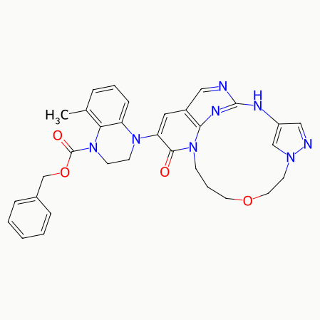 Cc1cccc2c1N(C(=O)OCc1ccccc1)CCN2c1cc2cnc3nc2n(c1=O)CCCOCCn1cc(cn1)N3